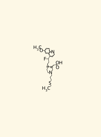 CCSCCCN1CC[C@@H](CCC(F)c2ccnc3ccc(OC)cc23)[C@@H](CC(=O)O)C1